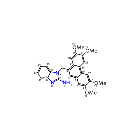 COc1cc2cc(Cn3c(N)nc4ccccc43)c3cc(OC)c(OC)cc3c2cc1OC